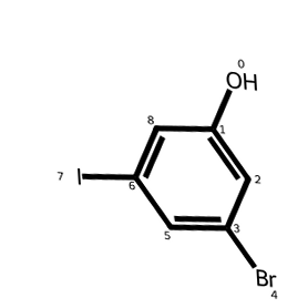 Oc1cc(Br)cc(I)c1